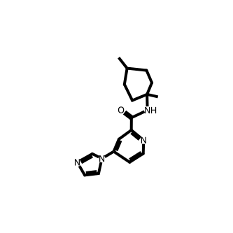 CC1CCC(C)(NC(=O)c2cc(-n3ccnc3)ccn2)CC1